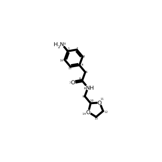 Nc1ccc(CC(=O)NCC2OCCO2)cc1